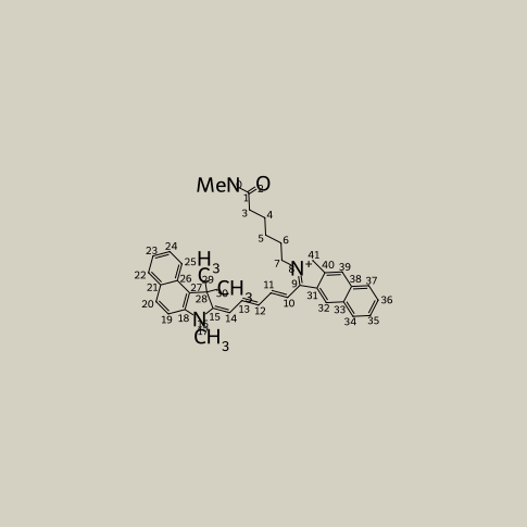 CNC(=O)CCCCC[N+]1=C(/C=C/C=C/C=C2/N(C)c3ccc4ccccc4c3C2(C)C)c2cc3ccccc3cc2C1